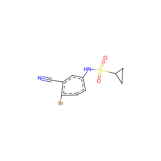 N#Cc1cc(NS(=O)(=O)C2CC2)ccc1Br